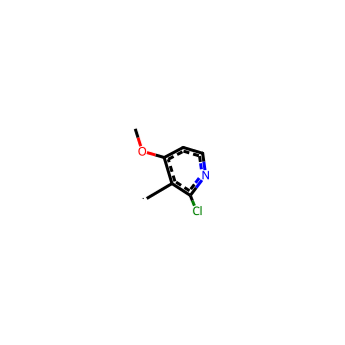 [CH2]c1c(OC)ccnc1Cl